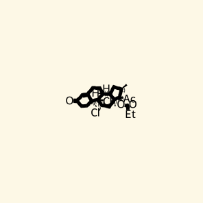 CCC(=O)O[C@@]1(C(C)=O)[C@H](C)C[C@H]2[C@@H]3CCC4=CC(=O)CC[C@]4(C)[C@@]3(Cl)[C@@H](Cl)C[C@@]21C